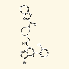 O=C(c1cc2ccccc2o1)N1CCCC(CNc2cc(-c3ccccc3Cl)nc3c(Br)cnn23)C1